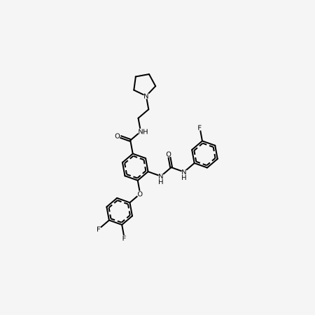 O=C(Nc1cccc(F)c1)Nc1cc(C(=O)NCCN2CCCC2)ccc1Oc1ccc(F)c(F)c1